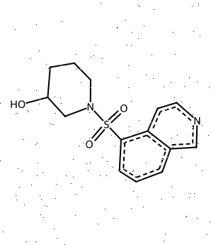 O=S(=O)(c1cccc2cnccc12)N1CCCC(O)C1